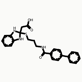 O=C(O)CC1(SCCCNC(=O)c2ccc(-c3ccccc3)cc2)Nc2ccccc2N1